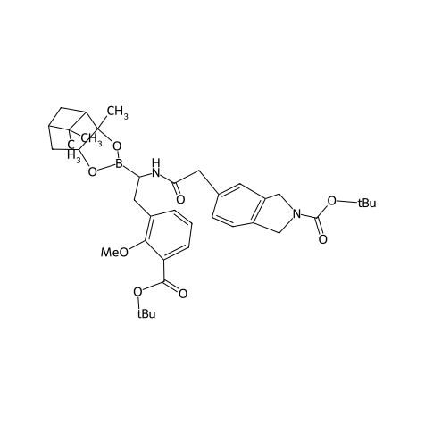 COc1c(CC(NC(=O)Cc2ccc3c(c2)CN(C(=O)OC(C)(C)C)C3)B2OC3CC4CC(C4(C)C)C3(C)O2)cccc1C(=O)OC(C)(C)C